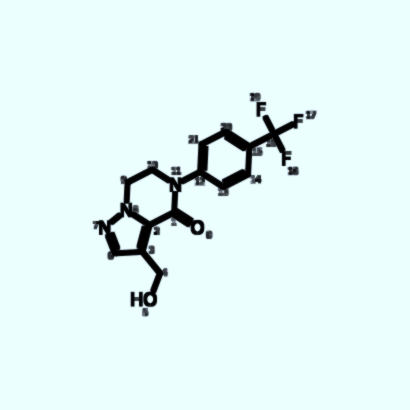 O=C1c2c(CO)cnn2CCN1c1ccc(C(F)(F)F)cc1